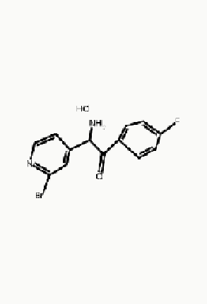 Cl.NC(C(=O)c1ccc(F)cc1)c1ccnc(Br)c1